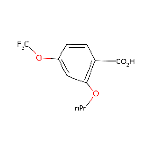 CCCOc1cc(OC(F)(F)F)ccc1C(=O)O